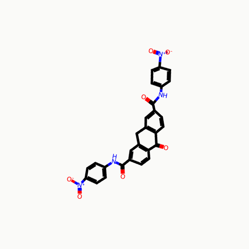 O=C(Nc1ccc([N+](=O)[O-])cc1)c1ccc2c(c1)Cc1cc(C(=O)Nc3ccc([N+](=O)[O-])cc3)ccc1C2=O